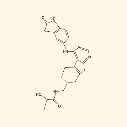 CC(O)C(=O)NCC1CCc2c(sc3ncnc(Nc4ccc5[nH]c(=O)sc5c4)c23)C1